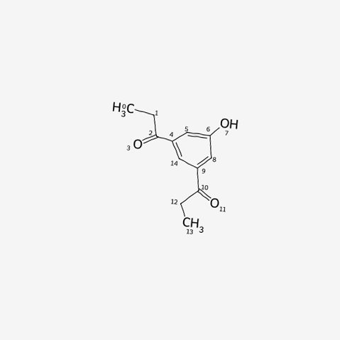 CCC(=O)c1cc(O)cc(C(=O)CC)c1